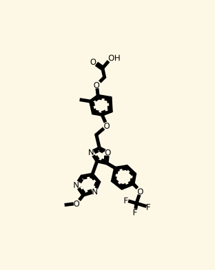 COc1ncc(-c2nc(COc3ccc(OCC(=O)O)c(C)c3)oc2-c2ccc(OC(F)(F)F)cc2)cn1